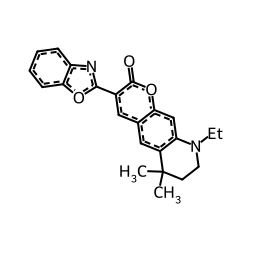 CCN1CCC(C)(C)c2cc3cc(-c4nc5ccccc5o4)c(=O)oc3cc21